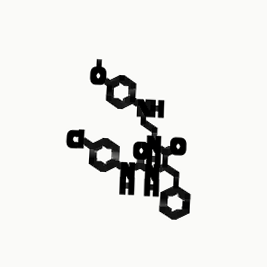 COc1ccc(NCCNC(=O)C(Cc2ccccc2)NC(=O)Nc2ccc(Cl)cc2)cc1